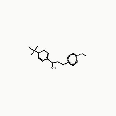 COc1ccc(CCC(O)C2=CCC(C(C)(C)C)C=C2)cc1